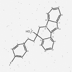 O=C(O)C1(CCc2ccc(F)cc2)Cn2c(nc3ccccc32)-c2ccccc21